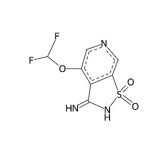 N=C1NS(=O)(=O)c2cncc(OC(F)F)c21